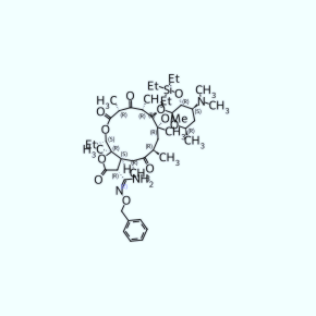 CC[C@@H]1OC(=O)[C@H](C)C(=O)[C@H](C)[C@@H](OC2O[C@H](C)C[C@H](N(C)C)[C@H]2O[Si](CC)(CC)CC)[C@](C)(OC)C[C@@H](C)C(=O)[C@H](C)[C@H]2[C@H](/C(N)=N/OCc3ccccc3)C(=O)O[C@]21C